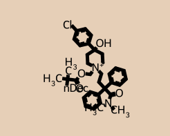 CCCCCCCCCCC(C)(C)C(=O)OC[N+]1(CCC(C(=O)N(C)C)(c2ccccc2)c2ccccc2)CCC(O)(c2ccc(Cl)cc2)CC1